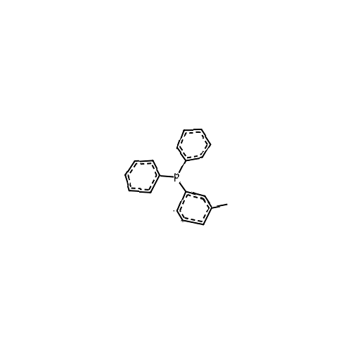 Cc1cc[c]c(P(c2ccccc2)c2ccccc2)c1